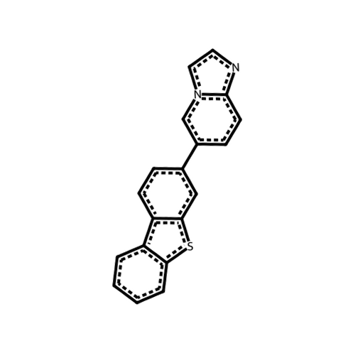 c1ccc2c(c1)sc1cc(-c3ccc4nccn4c3)ccc12